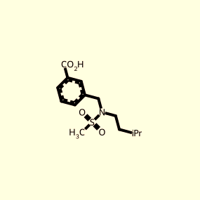 CC(C)CCN(Cc1cccc(C(=O)O)c1)S(C)(=O)=O